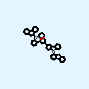 c1ccc2c(c#1)-c1cccc(-n3c4ccccc4c4cc(-c5cccc(-c6ccccc6N(C6=CCCC=C6)c6cc7ccccc7c7ccccc67)c5)ccc43)c1C2